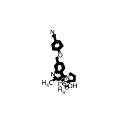 Cc1cc(N2CCC[C@]2(O)S(C)(=O)=O)c2ccc(COc3ccc(C#N)cc3)cc2n1